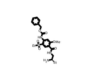 CC[C@@H](N)CNC(=O)c1cc(S(=O)(=O)CC)c(NC(=O)OCc2ccccc2)cc1OC